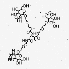 CCC(C(=O)NCCOCCOC1OC(CO)C(O)C(O)C1NC(C)=O)N(CC(=O)NCCOCCOC1OC(CO)C(O)C(O)C1NC(C)=O)CC(=O)NCCOCCO[C@@H]1OC(CO)C(O)C(O)C1NC(C)=O